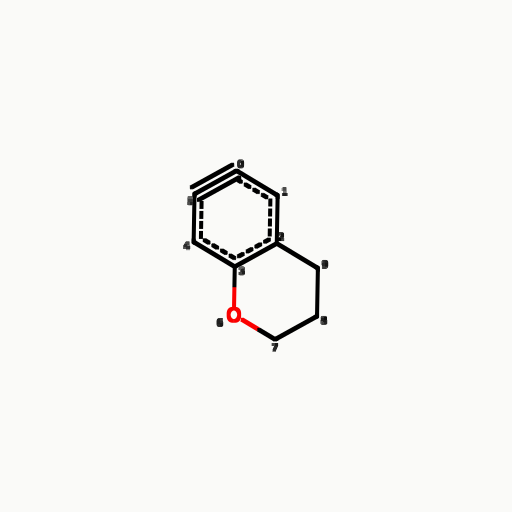 c1cc2c(cc#1)OCCC2